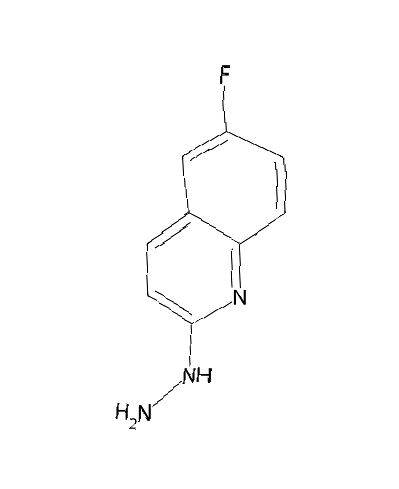 NNc1ccc2cc(F)ccc2n1